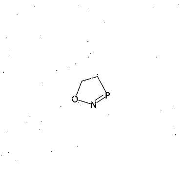 [CH]1CON=P1